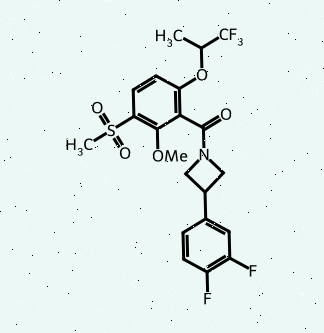 COc1c(S(C)(=O)=O)ccc(OC(C)C(F)(F)F)c1C(=O)N1CC(c2ccc(F)c(F)c2)C1